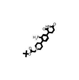 CC(C)(C)OC(=O)CN1CCC(c2ccc(C3CCC(=O)NC3=O)cc2P)CC1